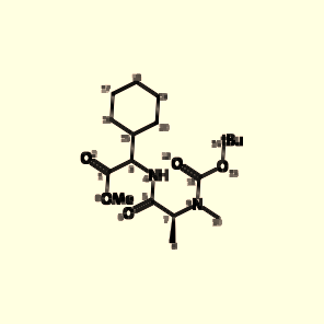 COC(=O)C(NC(=O)[C@H](C)N(C)C(=O)OC(C)(C)C)C1CCCCC1